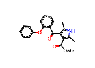 COC(=O)c1c(C)[nH]c(C)c1C(=O)c1ccccc1Oc1ccccc1